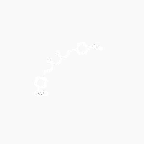 COc1ccc(C=CC(=O)CC(=O)C=Cc2ccc(C)cc2)cc1